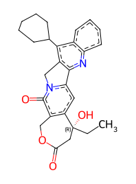 CC[C@@]1(O)CC(=O)OCc2c1cc1n(c2=O)Cc2c-1nc1ccccc1c2C1CCCCC1